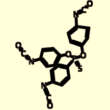 O=C=Nc1ccc(OP(=S)(Oc2ccc(N=C=O)cc2)c2ccc(N=C=O)cc2)cc1